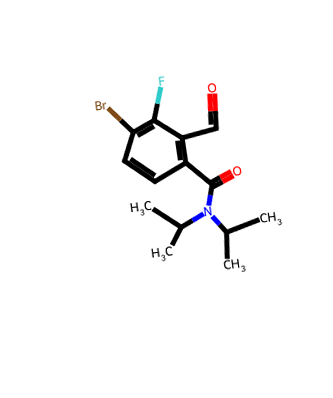 CC(C)N(C(=O)c1ccc(Br)c(F)c1C=O)C(C)C